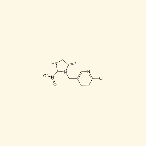 C=C1CNC([N+](=O)[O-])N1Cc1ccc(Cl)nc1